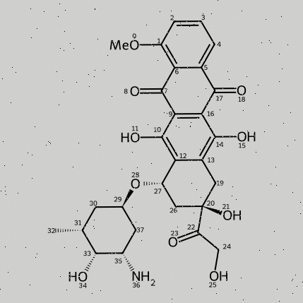 COc1cccc2c1C(=O)c1c(O)c3c(c(O)c1C2=O)C[C@](O)(C(=O)CO)C[C@@H]3O[C@@H]1C[C@@H](C)[C@@H](O)[C@@H](N)C1